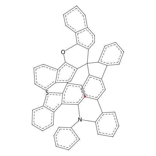 c1ccc(N(c2ccccc2-c2ccc3c(c2)-c2ccccc2C32c3ccc4ccccc4c3Oc3c2ccc2ccccc32)c2cccc3sc4ccccc4c23)cc1